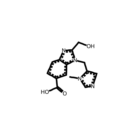 Cn1cncc1Cn1c(CO)nc2ccc(C(=O)O)cc21